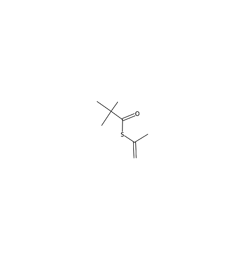 C=C(C)SC(=O)C(C)(C)C